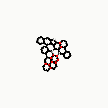 c1ccc(-c2ccc(N(c3ccccc3-c3ccccc3)c3ccc4oc5cc6ccccc6cc5c4c3N(c3ccccc3)c3ccccc3-c3ccc4ccccc4c3)cc2)cc1